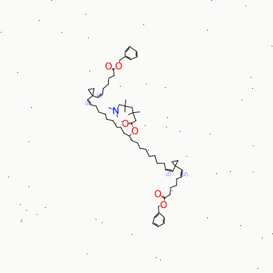 CN(C)CC(C)(C)CC(C)(C)CC(=O)OC(CCCCCCCC/C=C\C1(/C=C\CCCCC(=O)OCc2ccccc2)CC1)CCCCCCCC/C=C\C1(/C=C\CCCCC(=O)OCc2ccccc2)CC1